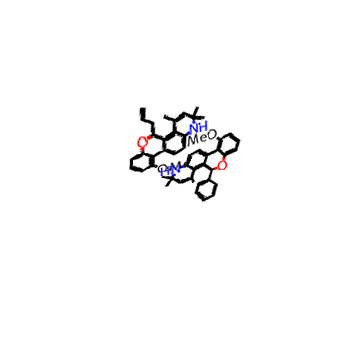 C=CCC1Oc2cccc(OC)c2-c2ccc3c(c21)C(C)=CC(C)(C)N3.COc1cccc2c1-c1ccc3c(c1C(c1ccccc1)O2)C(C)=CC(C)(C)N3